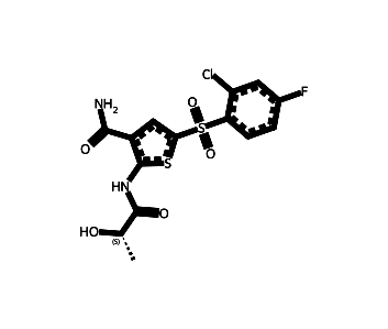 C[C@H](O)C(=O)Nc1sc(S(=O)(=O)c2ccc(F)cc2Cl)cc1C(N)=O